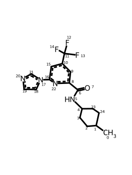 CC1CCC(NC(=O)c2cc(C(F)(F)F)cc(-n3ccnc3)n2)CC1